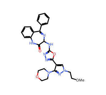 COCCn1cc(-c2nnc(NC3N=C(c4ccccc4)c4ccccc4NC3=O)o2)c(N2CCOCC2)n1